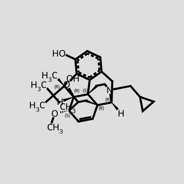 CO[C@@]12C=C[C@@]3(CC1[C@@](C)(O)C(C)(C)C)[C@H]1Cc4ccc(O)c5c4[C@@]3(CCN1CC1CC1)[C@H]2O5